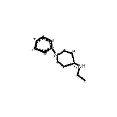 CCNC1CCN(c2cc[c]cc2)CC1